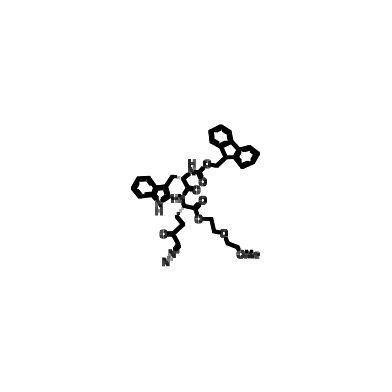 COCCOCCOC(=O)[C@H](CCC(=O)C=[N+]=[N-])NC(=O)[C@H](Cc1c[nH]c2ccccc12)NC(=O)OCC1c2ccccc2-c2ccccc21